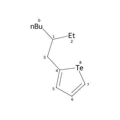 CCCCC(CC)Cc1ccc[te]1